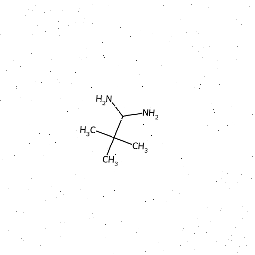 CC(C)(C)C(N)N